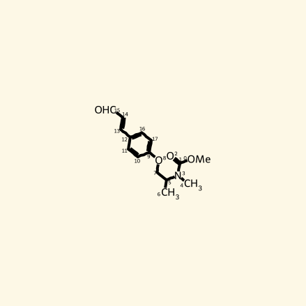 COC(=O)N(C)C(C)COc1ccc(C=CC=O)cc1